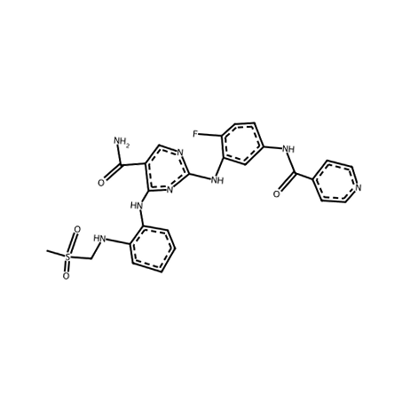 CS(=O)(=O)CNc1ccccc1Nc1nc(Nc2cc(NC(=O)c3ccncc3)ccc2F)ncc1C(N)=O